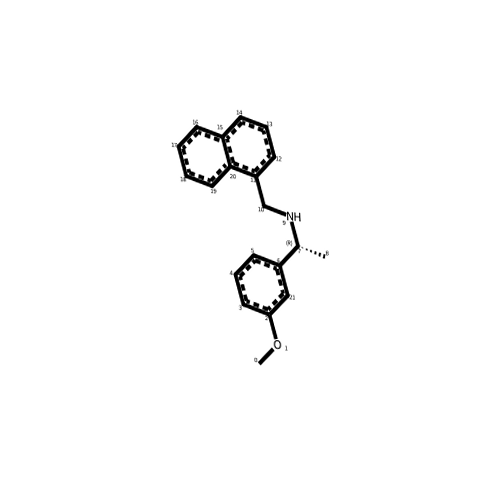 COc1cccc([C@@H](C)NCc2cccc3ccccc23)c1